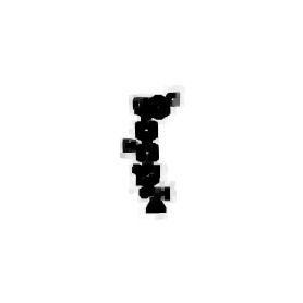 C=C(NC1CC1)c1cnc(N2CCN(C3CCN([C@@H](CO)c4ccc(Cl)cc4)CC3)[C@@H](CC)C2)c(C)n1